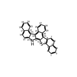 c1ccc2c(c1)ccc1c2sc2c3[nH]c4ccc5ccccc5c4c3c3ccccc3c12